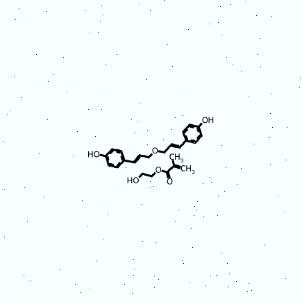 C=C(C)C(=O)OCCO.Oc1ccc(C=CCOCC=Cc2ccc(O)cc2)cc1